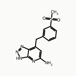 CS(=O)(=O)c1cccc(Cc2cc(N)nc3[nH]nnc23)c1